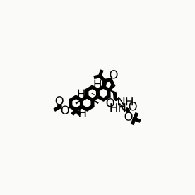 CC(=O)O[C@H]1CC[C@]2(C)[C@H]3CC[C@@H]4C5=C(C(C)C)C(=O)C[C@]5(CC(=O)NNC(=O)OC(C)(C)C)CC[C@@]4(C)[C@]3(C)CC[C@H]2C1(C)C